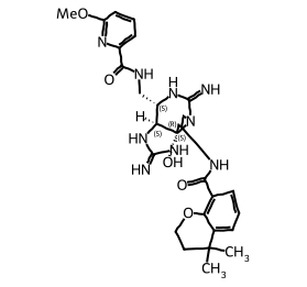 COc1cccc(C(=O)NC[C@@H]2NC(=N)N3CC(NC(=O)c4cccc5c4OCCC5(C)C)[C@@H](O)[C@@]34NC(=N)N[C@@H]24)n1